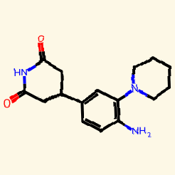 Nc1ccc(C2CC(=O)NC(=O)C2)cc1N1CCCCC1